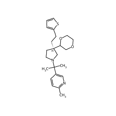 Cc1ccc(C(C)(C)N2CC[C@@](CCc3cccs3)(C3COCCO3)C2)cn1